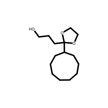 OCCCC1(C2CCCCCCCC2)OCCO1